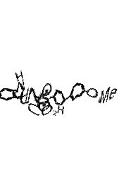 COc1ccc(-c2ccc(S(=O)(=O)N[C@H](Cc3c[nH]c4ccccc34)C(=O)O)cc2)cc1